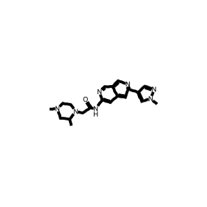 CC1CN(C)CCN1CC(=O)Nc1cc2cc(-c3cnn(C)c3)ncc2cn1